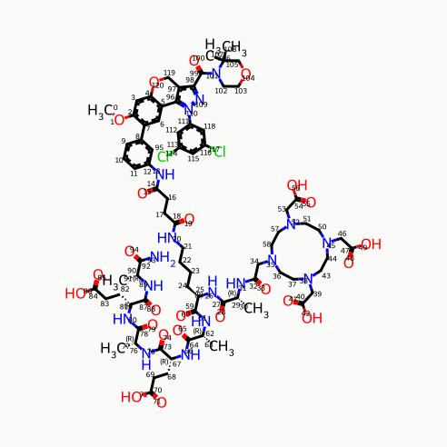 COc1cc2c(cc1-c1cccc(NC(=O)CCC(=O)NCCCC[C@@H](NC(=O)[C@@H](C)NC(=O)CN3CCN(CC(=O)O)CCN(CC(=O)O)CCN(CC(=O)O)CC3)C(=O)N[C@H](C)C(=O)N[C@H](CCC(=O)O)C(=O)N[C@H](C)C(=O)N[C@H](CCC(=O)O)C(=O)N[C@H](C)C(N)=O)c1)-c1c(c(C(=O)N3CCOCC3(C)C)nn1-c1cc(Cl)cc(Cl)c1)CO2